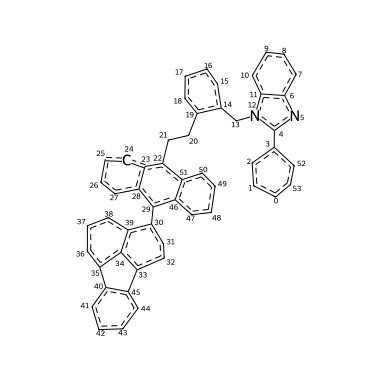 c1ccc(-c2nc3ccccc3n2Cc2ccccc2CCc2c3ccccc3c(-c3ccc4c5c(cccc35)-c3ccccc3-4)c3ccccc23)cc1